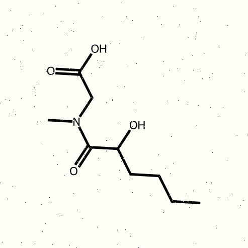 CCCCC(O)C(=O)N(C)CC(=O)O